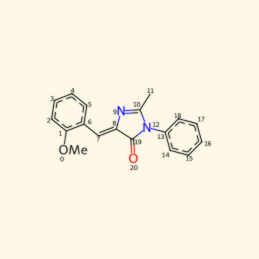 COc1ccccc1C=C1N=C(C)N(c2ccccc2)C1=O